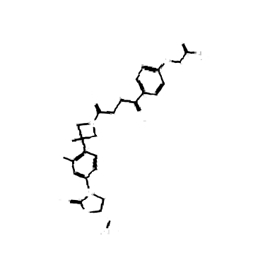 CC(=O)NC[C@H]1CN(c2ccc(C3(C)CN(C(=O)CCC(=O)c4ccc(NCC(N)=O)cc4)C3)c(F)c2)C(=O)O1